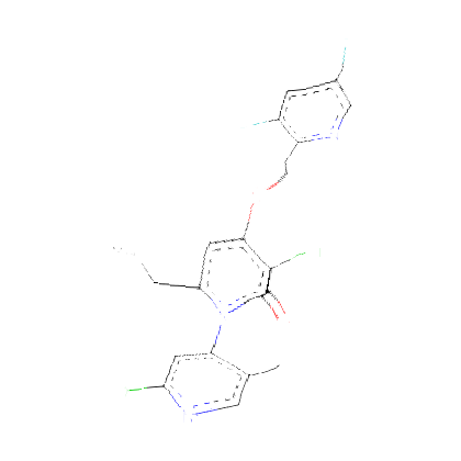 COCc1cc(OCc2ncc(F)cc2F)c(Cl)c(=O)n1-c1cc(Cl)ncc1C